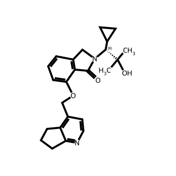 CC(C)(O)[C@@H](C1CC1)N1Cc2cccc(OCc3ccnc4c3CCC4)c2C1=O